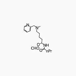 CCCC(=O)NC(CCCCN(C)Cc1ccccn1)OC=O